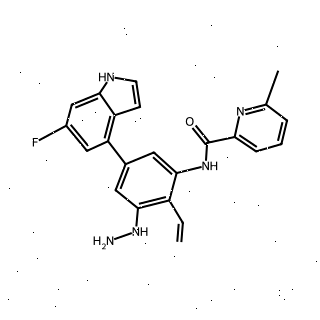 C=Cc1c(NN)cc(-c2cc(F)cc3[nH]ccc23)cc1NC(=O)c1cccc(C)n1